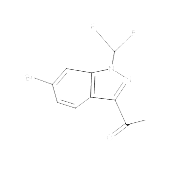 CC(=O)c1nn(C(F)F)c2cc(Br)ccc12